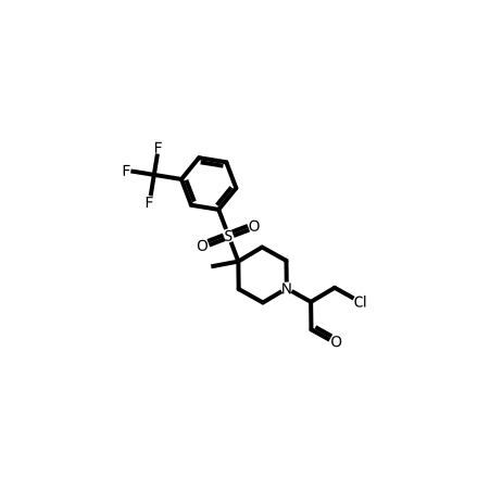 CC1(S(=O)(=O)c2cccc(C(F)(F)F)c2)CCN(C(C=O)CCl)CC1